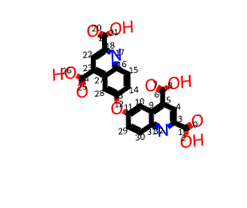 O=C(O)c1cc(C(=O)O)c2cc(Oc3ccc4nc(C(=O)O)cc(C(=O)O)c4c3)ccc2n1